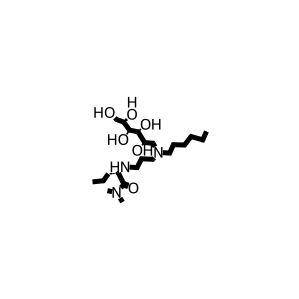 CCCCCCN(CCCN[C@@H](CCC)C(=O)N(C)C)C[C@H](O)[C@@H](O)[C@H](O)[C@H](O)CO